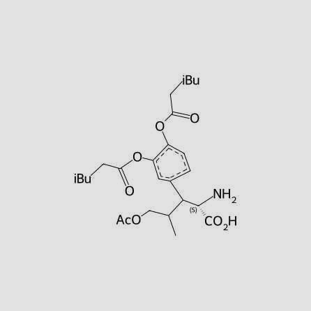 CCC(C)CC(=O)Oc1ccc(C(C(C)COC(C)=O)[C@H](N)C(=O)O)cc1OC(=O)CC(C)CC